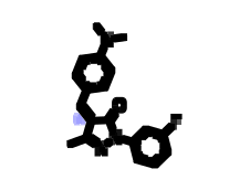 CC1=NN(c2cccc(F)c2)C(=O)/C1=C\c1ccc(N(C)C)cc1